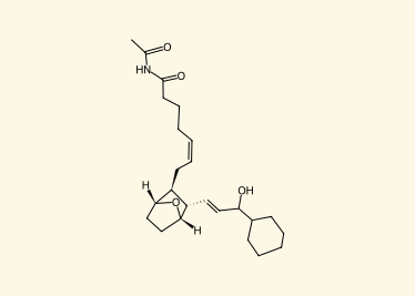 CC(=O)NC(=O)CCC/C=C\C[C@H]1[C@H](/C=C/C(O)C2CCCCC2)[C@@H]2CC[C@H]1O2